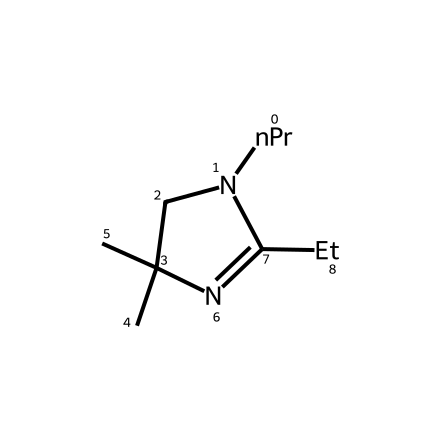 CCCN1CC(C)(C)N=C1CC